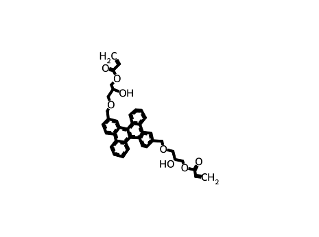 C=CC(=O)OCC(O)COCc1ccc2c(c1)c1ccccc1c1c3cc(COCC(O)COC(=O)C=C)ccc3c3ccccc3c21